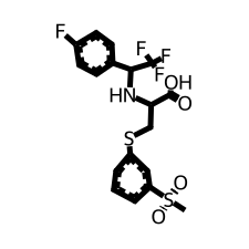 CS(=O)(=O)c1cccc(SCC(NC(c2ccc(F)cc2)C(F)(F)F)C(=O)O)c1